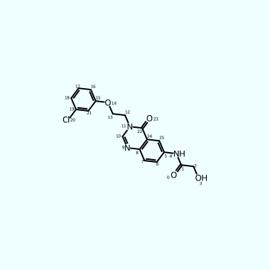 O=C(CO)Nc1ccc2ncn(CCOc3cccc(Cl)c3)c(=O)c2c1